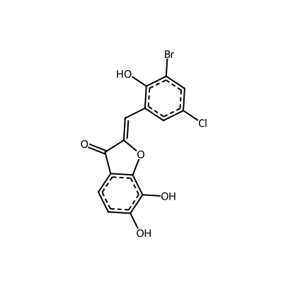 O=C1/C(=C/c2cc(Cl)cc(Br)c2O)Oc2c1ccc(O)c2O